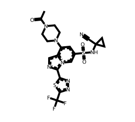 CC(=O)N1CCN(c2cc(S(=O)(=O)NC3(C#N)CC3)cn3c(-c4nnc(C(F)(F)F)s4)ncc23)CC1